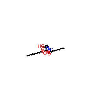 CCCCCCCCCCCCCOC(=O)CC(C[N+](C)(C)C)OC(=O)CCCCCCCCCCCC.O=C(O)c1cccnc1